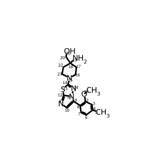 COc1cc(C)ccc1-c1cnc2sc(N3CCC(N)(CO)CC3)nn12